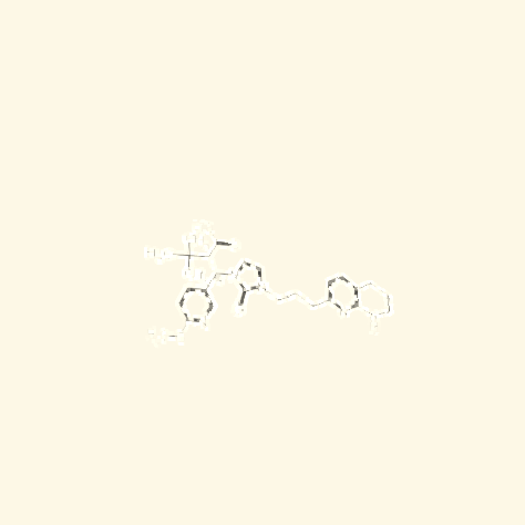 COc1ccc([C@H](C(C(=O)O)C(C)(C)C)n2ccn(CCCc3ccc4c(n3)NCCC4)c2=O)cn1